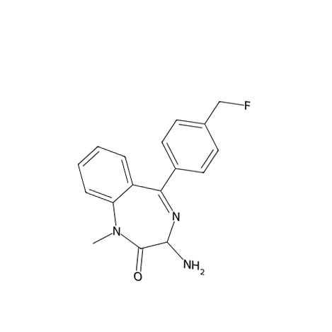 CN1C(=O)C(N)N=C(c2ccc(CF)cc2)c2ccccc21